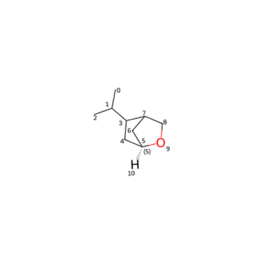 CC(C)C1C[C@H]2CC1CO2